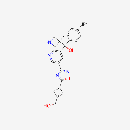 CC(C)c1ccc([C@](O)(c2cncc(-c3noc(C45CC(CO)(C4)C5)n3)c2)C2(C)CN(C)C2)cc1